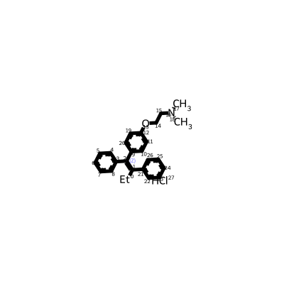 CC/C(=C(\c1ccccc1)c1ccc(OCCN(C)C)cc1)c1ccccc1.Cl